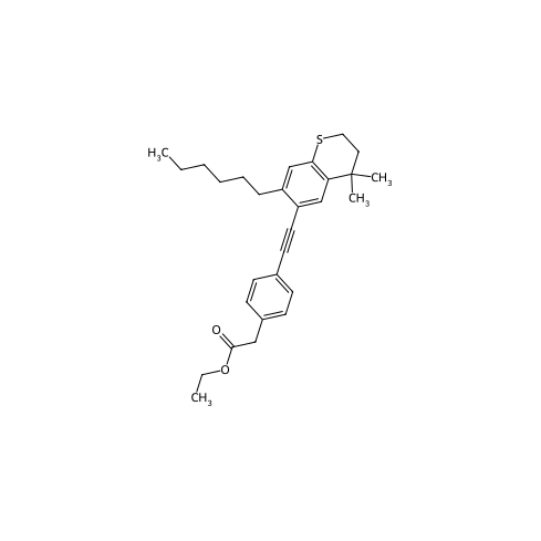 CCCCCCc1cc2c(cc1C#Cc1ccc(CC(=O)OCC)cc1)C(C)(C)CCS2